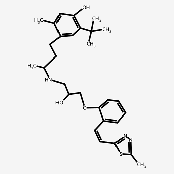 Cc1nnc(/C=C\c2ccccc2OCC(O)CNC(C)CCc2cc(C(C)(C)C)c(O)cc2C)s1